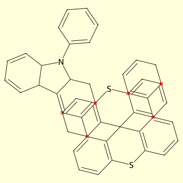 C1=CCCC(c2cccc3c2C2(C4=C(C=CCC4)Sc4ccccc42)c2c(cccc2C2=CCC4C(=C2)C2C=CC=CC2N4c2ccccc2)S3)=C1